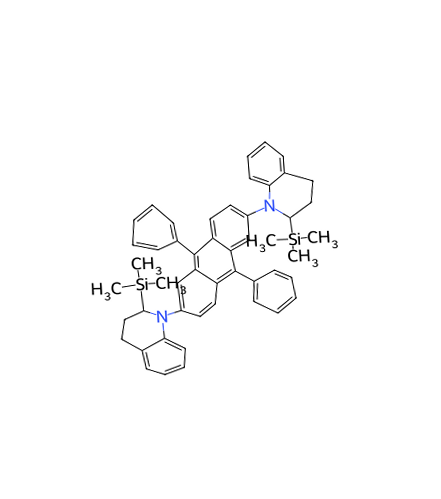 C[Si](C)(C)C1CCc2ccccc2N1c1ccc2c(-c3ccccc3)c3cc(N4c5ccccc5CCC4[Si](C)(C)C)ccc3c(-c3ccccc3)c2c1